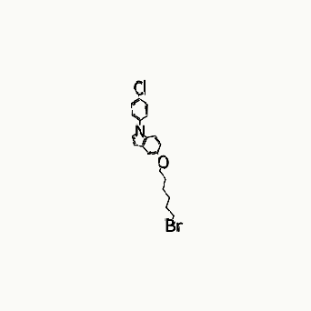 Clc1ccc(-n2ccc3cc(OCCCCCCBr)ccc32)cc1